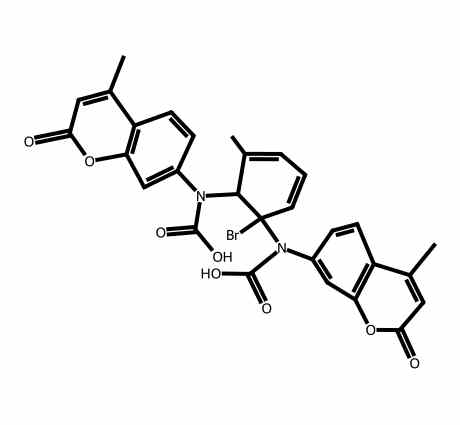 CC1=CC=CC(Br)(N(C(=O)O)c2ccc3c(C)cc(=O)oc3c2)C1N(C(=O)O)c1ccc2c(C)cc(=O)oc2c1